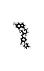 Cc1cn(-c2ccc(/C=C3\CCCN([C@H]4CCc5cc(F)ccc54)C3=O)cc2C)cn1